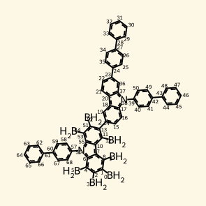 Bc1c(B)c(B)c2c(c1B)c1c(B)c(-c3ccc4c(c3)c3ccc(-c5ccc(-c6ccccc6)cc5)cc3n4-c3ccc(-c4ccccc4)cc3)c(B)c(B)c1n2-c1ccc(-c2ccccc2)cc1